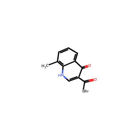 Cc1cccc2c(=O)c(C(=O)C(C)(C)C)c[nH]c12